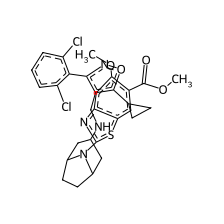 COC(=O)c1cc2sc(N3C4CCC3CC(NCc3c(-c5c(Cl)cccc5Cl)noc3C3CC3)C4)nc2cc1OC